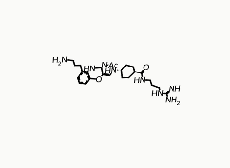 CC(=O)/N=C1/Nc2c(CCCN)cccc2O/C1=C/N[C@H]1CC[C@H](C(=O)NCCCNC(=N)N)CC1